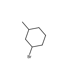 CC1CCCC(Br)C1